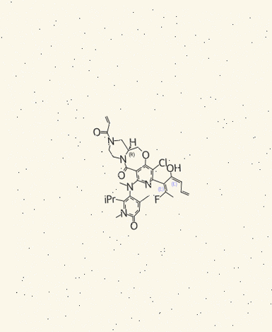 C=C/C=C(O)\C(=C(/C)F)c1nc(N(C)c2c(C)cc(=O)n(C)c2C(C)C)c2c(c1Cl)OC[C@H]1CN(C(=O)C=C)CCN1C2=O